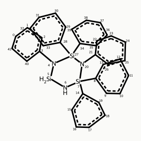 c1ccc(N2[SiH2]N[Si](c3ccccc3)(c3ccccc3)N(c3ccccc3)[Si]2(c2ccccc2)c2ccccc2)cc1